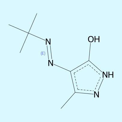 Cc1n[nH]c(O)c1/N=N/C(C)(C)C